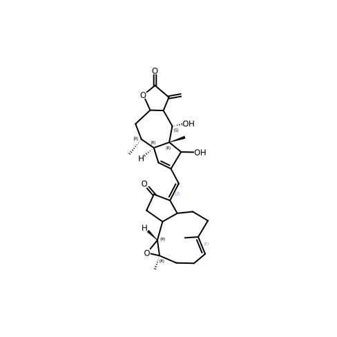 C=C1C(=O)OC2C[C@@H](C)[C@@H]3C=C(/C=C4\C(=O)CC5C4CC/C(C)=C/CC[C@@]4(C)O[C@H]54)C(O)[C@@]3(C)[C@@H](O)C12